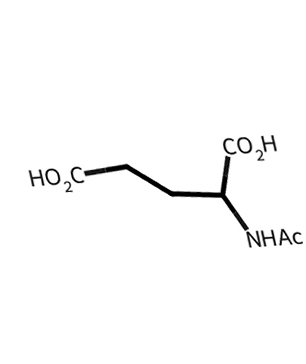 [CH2]C(=O)NC(CCC(=O)O)C(=O)O